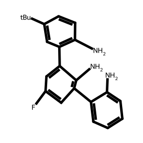 CC(C)(C)c1ccc(N)c(-c2cc(F)cc(-c3ccccc3N)c2N)c1